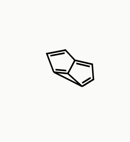 c1cc2c3ccc1c23